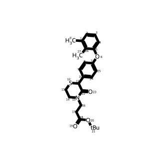 Cc1cccc(Oc2ccc(C3SCCN(CCC(=O)OC(C)(C)C)C3=O)cc2)c1C